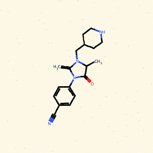 C=C1N(c2ccc(C#N)cc2)C(=O)C(C)N1CC1CCNCC1